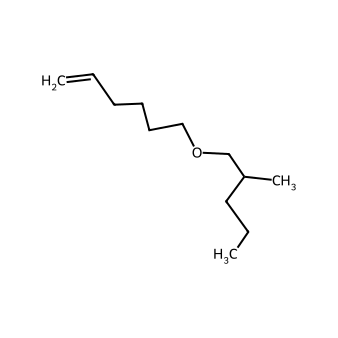 C=CCCCCOCC(C)CCC